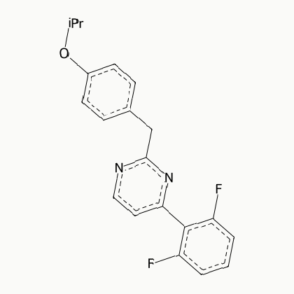 CC(C)Oc1ccc(Cc2nccc(-c3c(F)cccc3F)n2)cc1